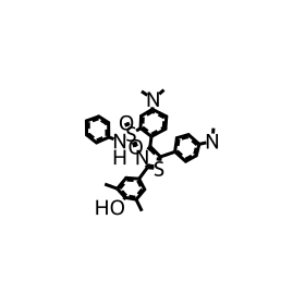 Cc1cc(-c2nc(-c3ccc(N(C)C)cc3S(=O)(=O)Nc3ccccc3)c(-c3ccc(N(C)C)cc3)s2)cc(C)c1O